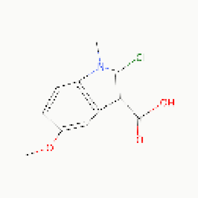 COc1ccc2c(c1)c(C(=O)O)c(Cl)n2C